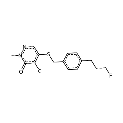 Cn1ncc(SCc2ccc(CCCF)cc2)c(Cl)c1=O